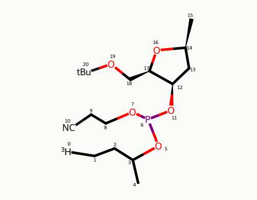 [3H]CCC(C)OP(OCCC#N)O[C@@H]1C[C@H](C)O[C@@H]1COC(C)(C)C